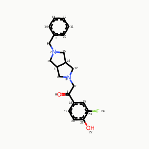 O=C(CN1CC2CN(Cc3ccccc3)CC2C1)c1ccc(O)c(F)c1